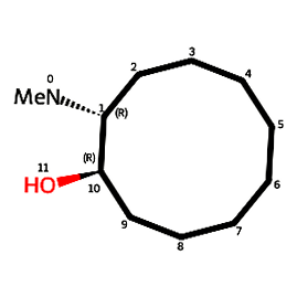 CN[C@@H]1CCCCCCCC[C@H]1O